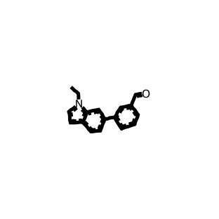 CCn1ccc2ccc(-c3cccc(C=O)c3)cc21